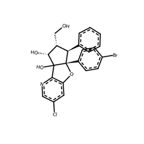 OC[C@H]1[C@@H](O)C2(O)c3ncc(Cl)cc3O[C@@]2(c2ccc(Br)cc2)[C@@H]1c1ccccc1